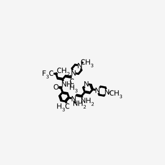 C=C(/C=C(\C=C(/C)N1CCN(C)CC1)NC(=O)c1ccc(C)c(N(N)/C=C(\N)c2cncc(N3CCN(C)CC3)c2)c1)C(F)(F)F